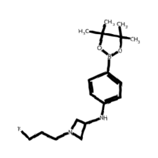 CC1(C)OB(c2ccc(NC3CN(CCCF)C3)cc2)OC1(C)C